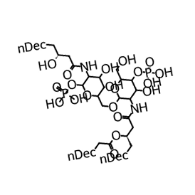 CCCCCCCCCCCC(=O)O[C@H](CCCCCCCCCCC)CC(=O)NC1C(OCC2OC(OP(=O)(O)O)C(NC(=O)C[C@H](O)CCCCCCCCCCC)C(O)C2O)OC(CO)C(OP(=O)(O)O)C1O